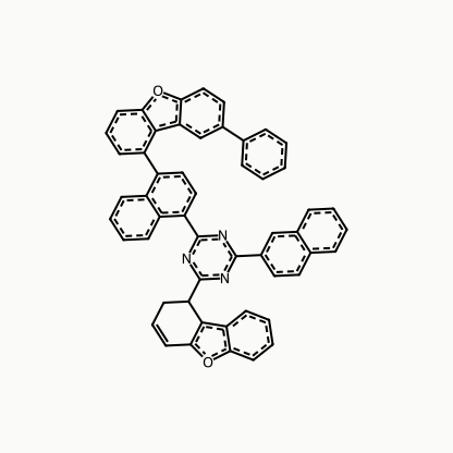 C1=Cc2oc3ccccc3c2C(c2nc(-c3ccc4ccccc4c3)nc(-c3ccc(-c4cccc5oc6ccc(-c7ccccc7)cc6c45)c4ccccc34)n2)C1